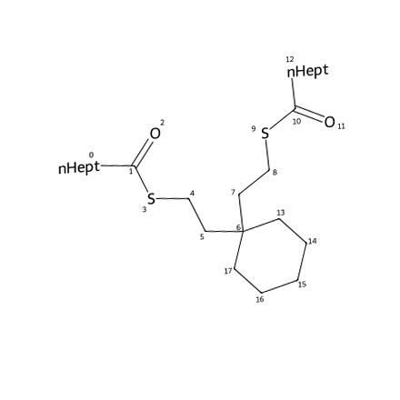 CCCCCCCC(=O)SCCC1(CCSC(=O)CCCCCCC)CCCCC1